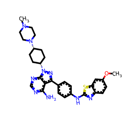 COc1ccc2nc(Nc3ccc(-c4nn([C@H]5CC[C@@H](N6CCN(C)CC6)CC5)c5ncnc(N)c45)cc3)sc2c1